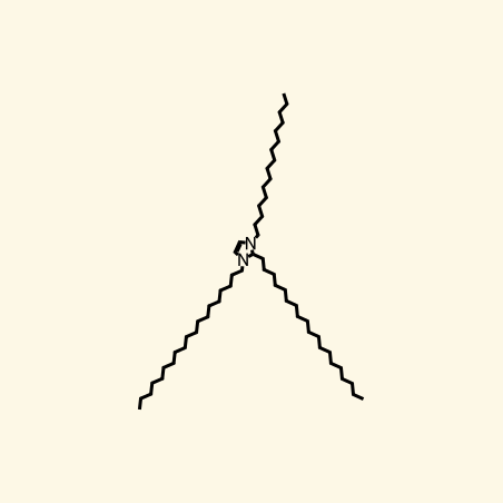 CCCCCCCCCCCCCCCCCCCC1N(CCCCCCCCCCCCCCCC)C=CN1CCCCCCCCCCCCCCCCCCC